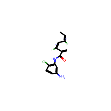 C=C(C(=O)Nc1cc(N)ccc1Cl)/C(F)=C\C(F)=C/C